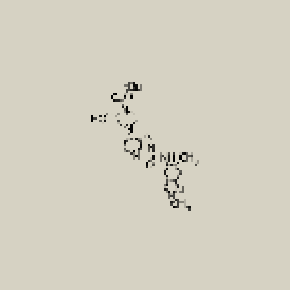 Cc1cc2nn(C)cc2cc1NC(=O)N1CCc2c(N3CCN(C(=O)OC(C)(C)C)[C@@H](CO)C3)ccnc21